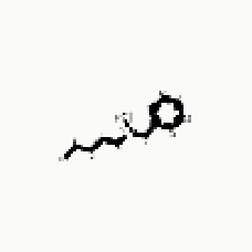 CCCCCP(Cl)Cc1ccccc1